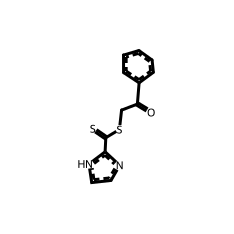 O=C(CSC(=S)c1ncc[nH]1)c1ccccc1